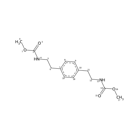 COC(=O)NCCc1ccc(CCNC(=O)OC)cc1